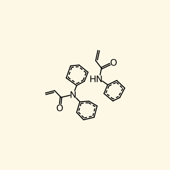 C=CC(=O)N(c1ccccc1)c1ccccc1.C=CC(=O)Nc1ccccc1